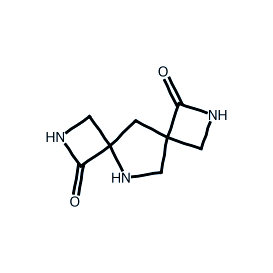 O=C1NCC12CNC1(CNC1=O)C2